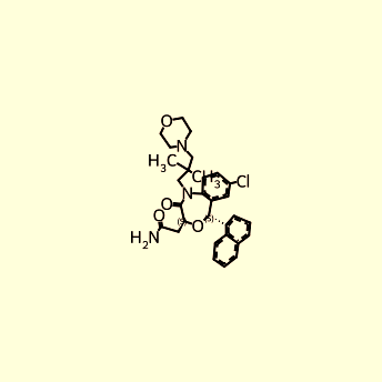 CC(C)(CN1CCOCC1)CN1C(=O)[C@H](CC(N)=O)O[C@@H](c2cccc3ccccc23)c2cc(Cl)ccc21